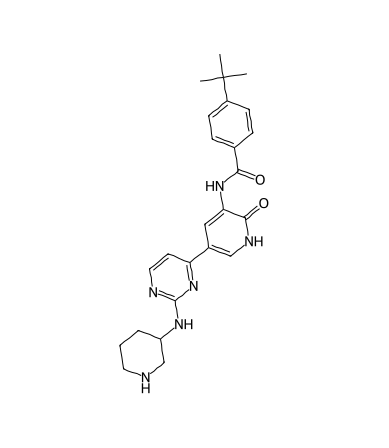 CC(C)(C)c1ccc(C(=O)Nc2cc(-c3ccnc(NC4CCCNC4)n3)c[nH]c2=O)cc1